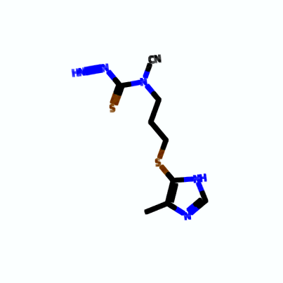 Cc1nc[nH]c1SCCCN(C#N)C(=S)N=N